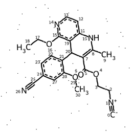 [C-]#[N+]CCOC(=O)C1=C(C)Nc2ccnc(OCC)c2C1c1ccc(C#N)cc1OC